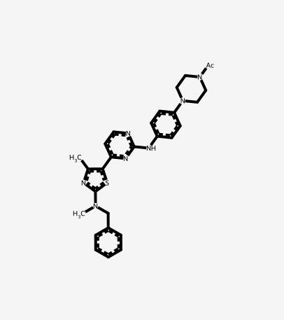 CC(=O)N1CCN(c2ccc(Nc3nccc(-c4sc(N(C)Cc5ccccc5)nc4C)n3)cc2)CC1